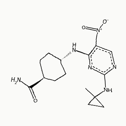 CC1(Nc2ncc([N+](=O)[O-])c(N[C@H]3CC[C@H](C(N)=O)CC3)n2)CC1